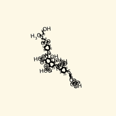 CN(CCO)CCS(=O)(=O)c1ccc(N=Nc2c(S(=O)(=O)O)cc3c(S(=O)(=O)O)cc(N=Nc4ccc(SC#COOS(=O)(=O)O)cc4S(=O)(=O)O)c(N)c3c2O)cc1